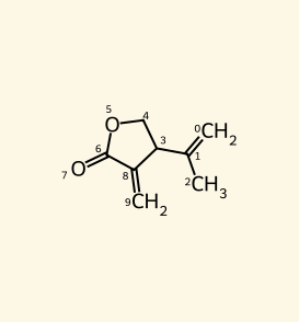 C=C(C)C1COC(=O)C1=C